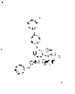 CC(CCc1ccc(-c2ccccc2)cc1)(C(=O)NOCc1ccccc1)C(C)(O)C(F)F